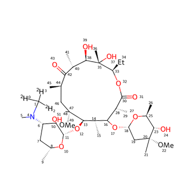 [2H]C([2H])([2H])N(C)[C@H]1C[C@@H](C)O[C@@H](O[C@@H]2[C@@H](C)C(O[C@H]3C[C@@](C)(OC)[C@@H](O)[C@H](C)O3)[C@@H](C)C(=O)O[C@H](CC)[C@@](C)(O)[C@H](O)[C@@H](C)C(=O)[C@H](C)C[C@@]2(C)OC)[C@@H]1O